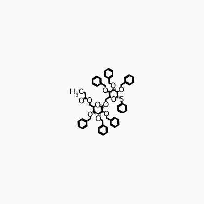 CCC(=O)OCC1O[C@@H](OCC2O[C@@H](Sc3ccccc3)C(OCc3ccccc3)[C@H](OCc3ccccc3)[C@@H]2OCc2ccccc2)C(OCc2ccccc2)[C@H](OCc2ccccc2)[C@@H]1OCc1ccccc1